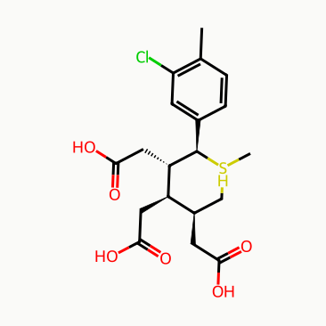 Cc1ccc([C@@H]2[C@@H](CC(=O)O)[C@H](CC(=O)O)[C@H](CC(=O)O)C[SH]2C)cc1Cl